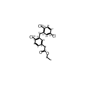 CCOC(=O)Cc1ccc(Cl)c(Cc2cc(Cl)ccc2Cl)c1